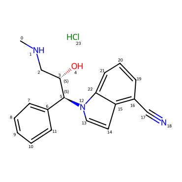 CNC[C@H](O)[C@H](c1ccccc1)n1ccc2c(C#N)cccc21.Cl